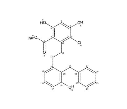 COC(=O)c1c(O)cc(O)c(Cl)c1CCc1cccc(O)c1Cc1ccccc1